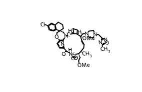 COCC[C@@H]1[C@@H](C)C/C=C/[C@](CN2CCN(Cc3noc(C)n3)CC2)(OC)[C@@H]2CC[C@H]2CN2C[C@@]3(CCCc4cc(Cl)ccc43)COc3ccc(nc32)C(=O)NS1(=O)=O